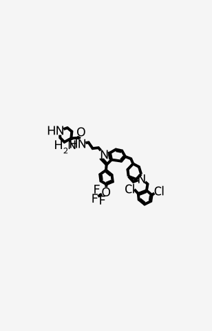 NC1(C(=O)NCCCn2cc(-c3ccc(OC(F)(F)F)cc3)c3cc(CC4CC5CC(C4)N(Cc4c(Cl)cccc4Cl)C5)ccc32)CCNCC1